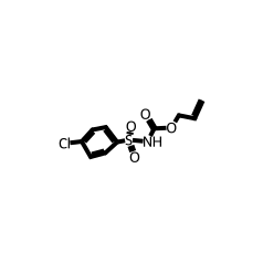 C=CCOC(=O)NS(=O)(=O)c1ccc(Cl)cc1